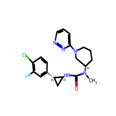 CN(C(=O)N[C@H]1C[C@@H]1c1ccc(Cl)c(F)c1)[C@@H]1CCCN(c2cccnn2)C1